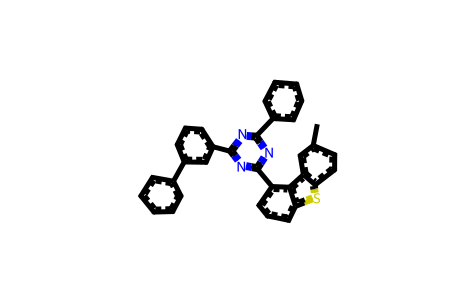 Cc1ccc2sc3cccc(-c4nc(-c5ccccc5)nc(-c5cccc(-c6ccccc6)c5)n4)c3c2c1